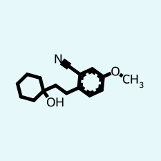 COc1ccc(CCC2(O)CCCCC2)c(C#N)c1